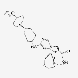 O=C1NCC2(CCCCC2)n2c1cc1cnc(N[C@H]3CC[C@H](N4CCC(C(F)(F)F)CC4)CC3)nc12